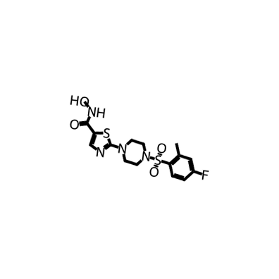 Cc1cc(F)ccc1S(=O)(=O)N1CCN(c2ncc(C(=O)NO)s2)CC1